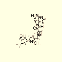 Cc1nc(N2CC(C)C(CO)C2)ccc1Cn1cc(C(=O)N[C@@H]2CCc3c2ccnc3N)cn1